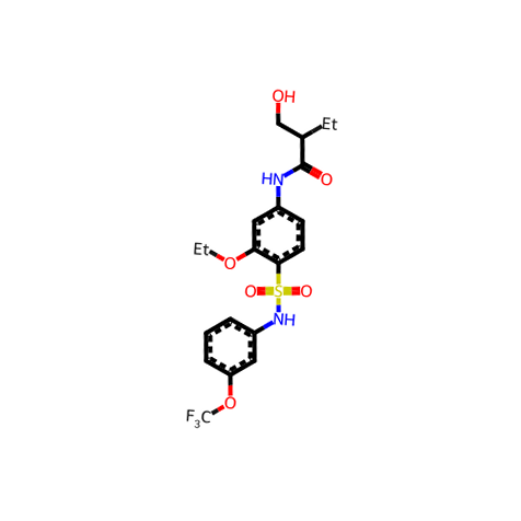 CCOc1cc(NC(=O)C(CC)CO)ccc1S(=O)(=O)Nc1cccc(OC(F)(F)F)c1